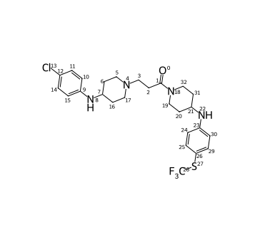 O=C(CCN1CCC(Nc2ccc(Cl)cc2)CC1)N1CCC(Nc2ccc(SC(F)(F)F)cc2)CC1